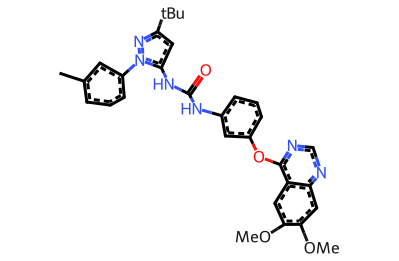 COc1cc2ncnc(Oc3cccc(NC(=O)Nc4cc(C(C)(C)C)nn4-c4cccc(C)c4)c3)c2cc1OC